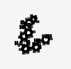 Cc1ccc2c(NS(=O)(=O)Cc3cscn3)c(F)ccc2c1Oc1ncccc1-c1ccnc(N[C@H]2CCCNC2)n1